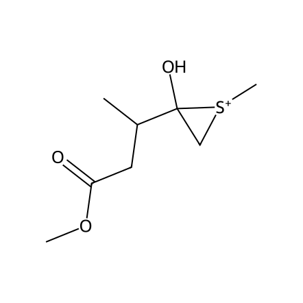 COC(=O)CC(C)C1(O)C[S+]1C